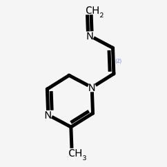 C=N/C=C\N1C=C(C)N=CC1